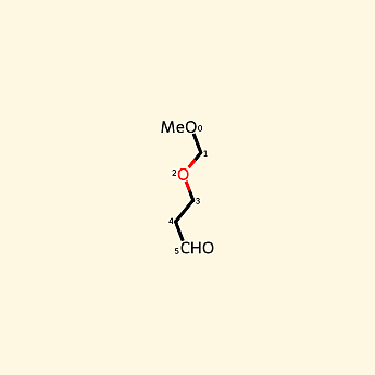 COCOCCC=O